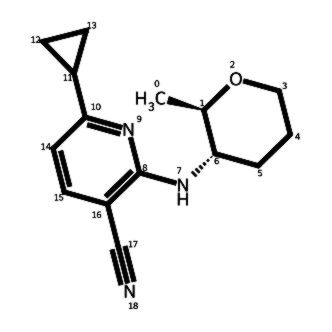 C[C@H]1OCCC[C@@H]1Nc1nc(C2CC2)ccc1C#N